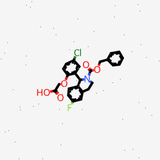 O=C(O)COc1ccc(Cl)cc1C1c2ccc(F)cc2CCN1C(=O)OCc1ccccc1